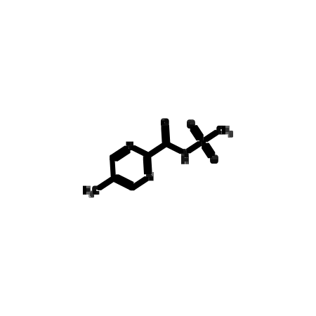 Cc1cnc(C(=O)NS(C)(=O)=O)nc1